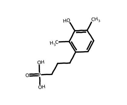 Cc1ccc(CCCP(=O)(O)O)c(C)c1O